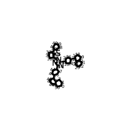 c1ccc2c(-c3ccc(-c4nc(-c5ccc(-c6cccc7ccccc67)cc5)nc(-c5cccc6c5sc5ccccc56)n4)cc3)cccc2c1